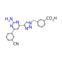 N#Cc1cccc(-c2cc(-c3cn(Cc4cccc(C(=O)O)c4)nn3)nc(N)n2)c1